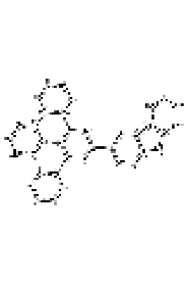 c1ccc(-c2cc(-c3ccc4sc5ccccc5c4c3)nc(-c3ccccc3-c3ccncc3)n2)cc1